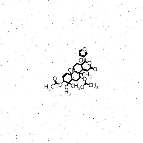 CC(=O)O[C@H]1C=C[C@@]2(C)C(C[C@H](OC(C)=O)[C@@]3(C)C4=CC(=O)O[C@@H](c5ccoc5)[C@]4(C)CCC23)C1(C)C